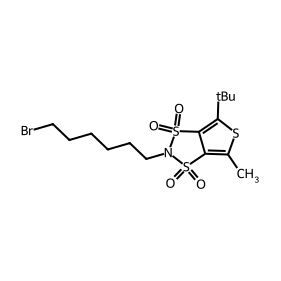 Cc1sc(C(C)(C)C)c2c1S(=O)(=O)N(CCCCCCBr)S2(=O)=O